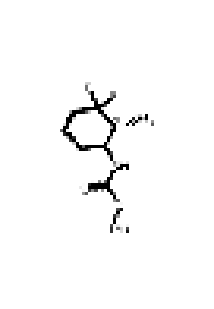 CC(C)(C)OC(=O)NC1CCCC(F)(F)[C@@H]1N